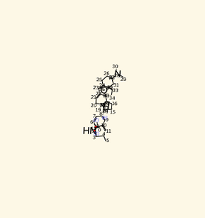 C=C(/C=C\CC)/C=C\C(=C/C(=C)C=N)[C@H]1CC[C@@H]2[C@]1(C)CC=C1C=C3CC[C@H](N(C)C)C[C@]34CC[C@@]12O4